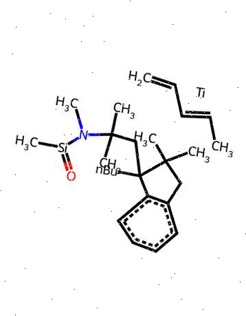 C=CC=CC.CCCCC1(CC(C)(C)N(C)[Si](C)=O)c2ccccc2CC1(C)C.[Ti]